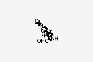 COc1nc(N2CC3(COC3)C2)ccc1-c1c(F)cc2[nH]cc(C=O)c2c1F